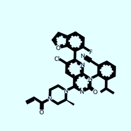 C=CC(=O)N1CCN(c2nc(=O)n(-c3c(C#N)cccc3C(C)C)c3nc(-c4c(F)ccc5ccoc45)c(Cl)cc23)[C@@H](C)C1